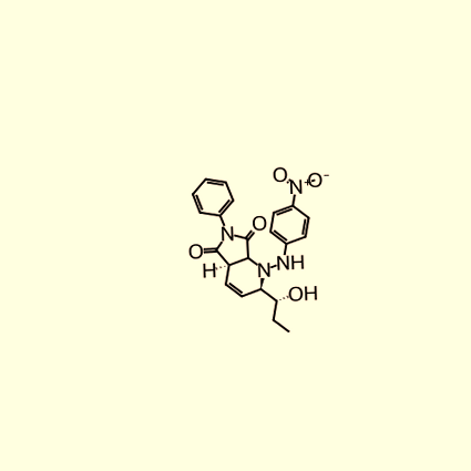 CC[C@@H](O)[C@H]1C=C[C@H]2C(=O)N(c3ccccc3)C(=O)C2N1Nc1ccc([N+](=O)[O-])cc1